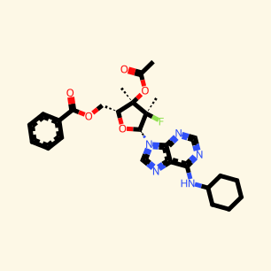 CC(=O)O[C@]1(C)[C@@H](COC(=O)c2ccccc2)O[C@@H](n2cnc3c(NC4CCCCC4)ncnc32)[C@]1(C)F